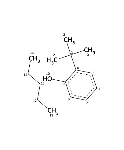 CC(C)(C)c1ccccc1O.CCCCC